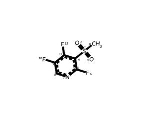 CS(=O)(=O)c1c(F)ncc(F)c1F